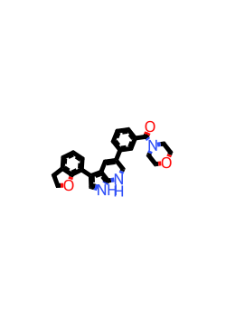 O=C(c1cccc(C2=Cc3c(-c4cccc5c4OCC5)c[nH]c3NC2)c1)N1CCOCC1